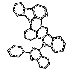 c1ccc(-c2nc(-n3c4ccccc4c4cc5c6nccc7c8ccccc8n(c8cccc(c58)c43)c76)c3ccccc3n2)cc1